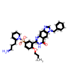 CCCOc1ccc(S(=O)(=O)N2CC=CC=C2CCCN)cc1-c1nc2cc3ncn(Cc4ccccc4)c3cc2c(=O)[nH]1